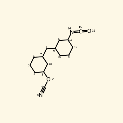 N#COC1CCCC(CC2CCCC(N=C=O)C2)C1